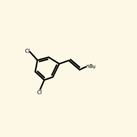 CCCCC=Cc1cc(Cl)cc(Cl)c1